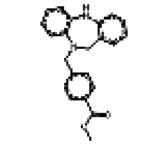 COC(=O)c1ccc(CN2Cc3ccccc3Nc3ccccc32)cc1